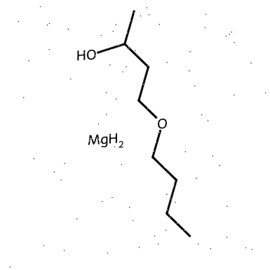 CCCCOCCC(C)O.[MgH2]